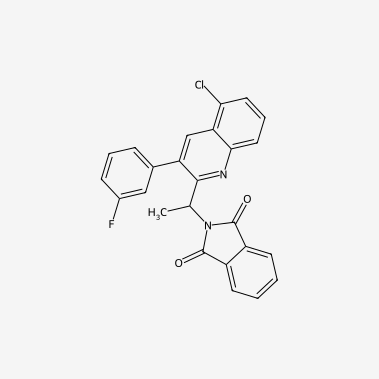 CC(c1nc2cccc(Cl)c2cc1-c1cccc(F)c1)N1C(=O)c2ccccc2C1=O